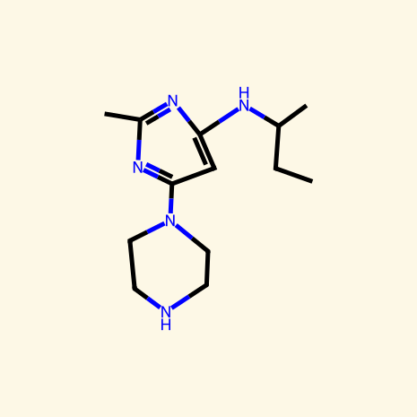 CCC(C)Nc1cc(N2CCNCC2)nc(C)n1